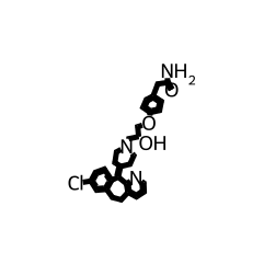 NC(=O)Cc1ccc(OCC(O)CN2CCC(=C3c4ccc(Cl)cc4CCc4cccnc43)CC2)cc1